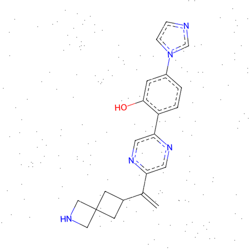 C=C(c1cnc(-c2ccc(-n3ccnc3)cc2O)cn1)C1CC2(CNC2)C1